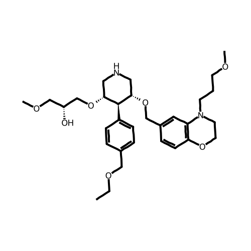 CCOCc1ccc([C@@H]2[C@@H](OCc3ccc4c(c3)N(CCCOC)CCO4)CNC[C@H]2OC[C@H](O)COC)cc1